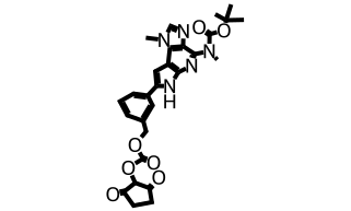 CN(C(=O)OC(C)(C)C)c1nc2[nH]c(-c3cccc(COC(=O)OC4C(=O)CCC4=O)c3)cc2c2c1ncn2C